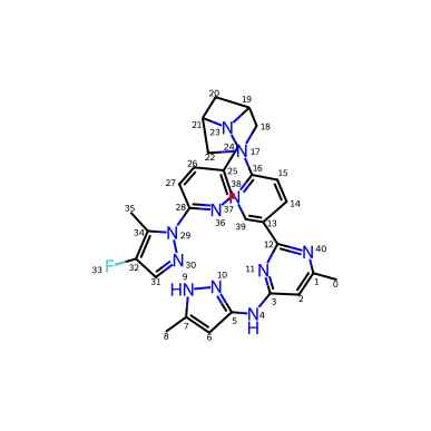 Cc1cc(Nc2cc(C)[nH]n2)nc(-c2ccc(N3CC4CC(C3)N4Cc3ccc(-n4ncc(F)c4C)nc3)nc2)n1